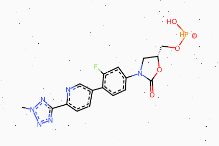 Cn1nnc(-c2ccc(-c3ccc(N4C[C@H](CO[PH](=O)O)OC4=O)cc3F)cn2)n1